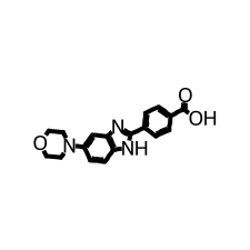 O=C(O)c1ccc(-c2nc3cc(N4CCOCC4)ccc3[nH]2)cc1